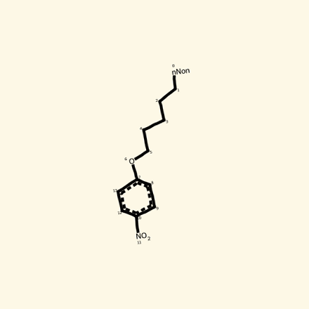 CCCCCCCCCCCCCCOc1ccc([N+](=O)[O-])cc1